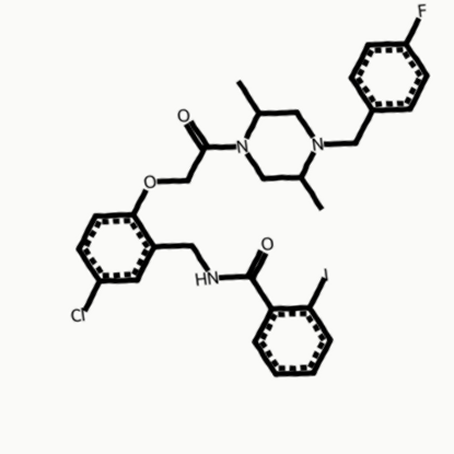 CC1CN(C(=O)COc2ccc(Cl)cc2CNC(=O)c2ccccc2I)C(C)CN1Cc1ccc(F)cc1